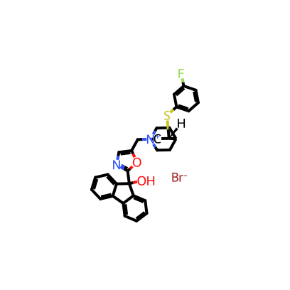 OC1(c2ncc(C[N+]34CCC(CC3)[C@@H](Sc3cccc(F)c3)C4)o2)c2ccccc2-c2ccccc21.[Br-]